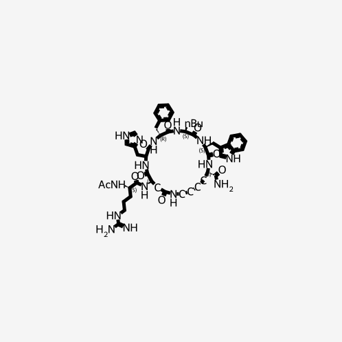 CCCC[C@@H]1NC(=O)[C@@H](Cc2ccccc2)NC(=O)C(Cc2c[nH]cn2)NC(=O)[C@@H](NC(=O)[C@H](CCCNC(=N)N)NC(C)=O)CC(=O)NCCCC[C@@H](C(N)=O)NC(=O)[C@H](Cc2c[nH]c3ccccc23)NC1=O